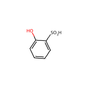 O=S(=O)(O)c1c[c]ccc1O